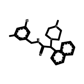 Cc1cc(Cl)cc(CNC(=O)C(c2cccc3ccccc23)N2CCN(C)CC2)c1